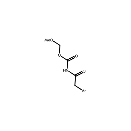 COCOC(=O)NC(=O)CC(C)=O